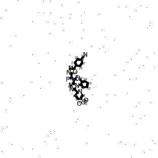 CS(=O)(=O)c1ccc(-c2nnc(/C(F)=C(\F)c3nnc(-c4ccc(C#N)cc4)o3)n2-c2ccccc2Cl)nc1